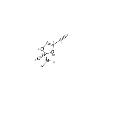 C#CC1=COP(=O)(N(C)C)O1